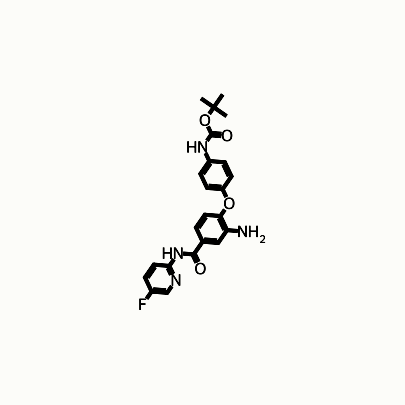 CC(C)(C)OC(=O)Nc1ccc(Oc2ccc(C(=O)Nc3ccc(F)cn3)cc2N)cc1